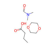 C1COCCO1.CCCC(=O)O.CN(C)C=O